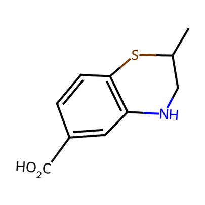 CC1CNc2cc(C(=O)O)ccc2S1